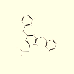 CC(O)Cc1cc(Cc2ccccc2)cc(Cc2ccccc2)c1O